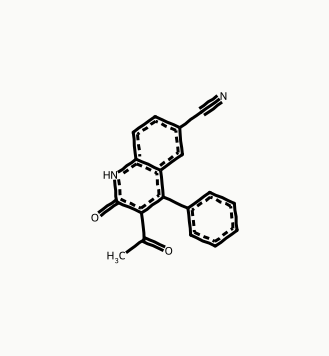 CC(=O)c1c(-c2ccccc2)c2cc(C#N)ccc2[nH]c1=O